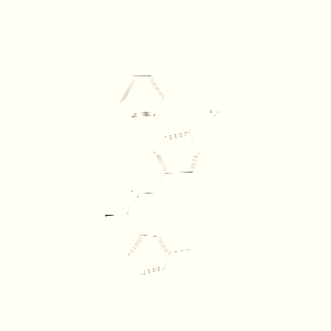 COc1ccc(CN[C@H](C)c2cccc(Cl)c2)cc1-c1ccc(C(F)(F)F)cc1